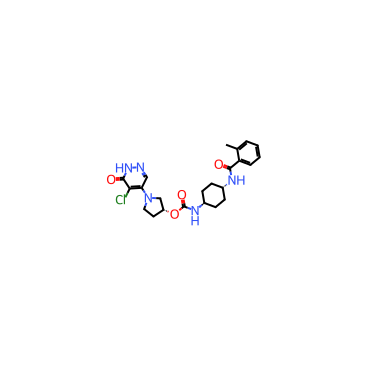 Cc1ccccc1C(=O)N[C@H]1CC[C@H](NC(=O)O[C@@H]2CCN(c3cn[nH]c(=O)c3Cl)C2)CC1